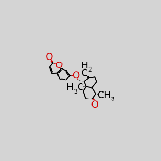 C=C1CCC2[C@@H](C)C(=O)CC[C@@]2(C)[C@@H]1COc1ccc2ccc(=O)oc2c1